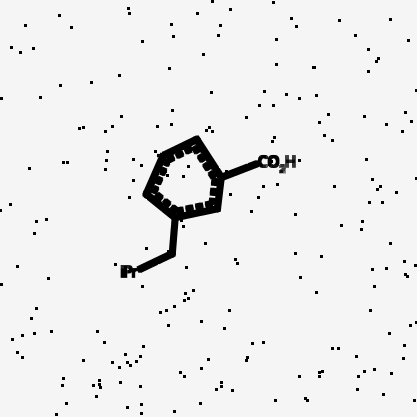 CC(C)Cc1c[c]cc(C(=O)O)c1